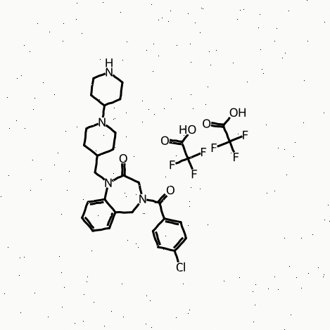 O=C(O)C(F)(F)F.O=C(O)C(F)(F)F.O=C(c1ccc(Cl)cc1)N1CC(=O)N(CC2CCN(C3CCNCC3)CC2)c2ccccc2C1